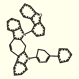 C1=Cc2c(n(-c3cccc4oc5ccccc5c34)c3ccccc23)Cc2c1c1ccccc1n2C1=CC=C(c2ccccc2)CC1